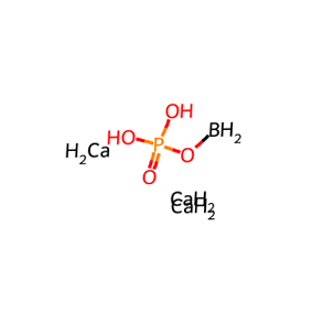 BOP(=O)(O)O.[CaH2].[CaH2].[CaH2]